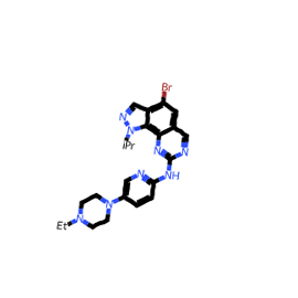 CCN1CCN(c2ccc(Nc3ncc4cc(Br)c5cnn(C(C)C)c5c4n3)nc2)CC1